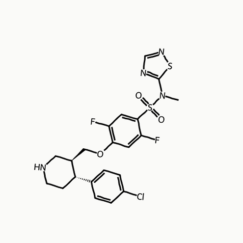 CN(c1ncns1)S(=O)(=O)c1cc(F)c(OC[C@@H]2CNCC[C@H]2c2ccc(Cl)cc2)cc1F